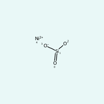 O=[Si]([O-])[O-].[Ni+2]